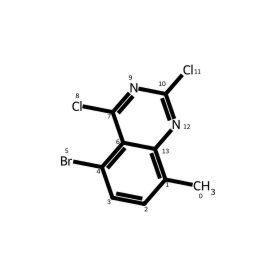 Cc1ccc(Br)c2c(Cl)nc(Cl)nc12